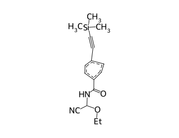 CCOC(C#N)NC(=O)c1ccc(C#C[Si](C)(C)C)cc1